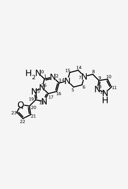 Nc1nc(N2CCN(Cc3cc[nH]n3)CC2)cc2nc(-c3ccco3)nn12